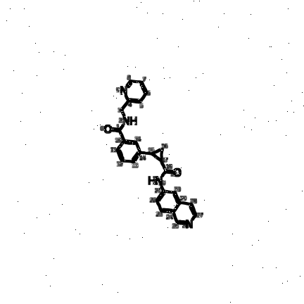 O=C(NCc1ccccn1)c1cccc(C2CC2C(=O)Nc2ccc3cnccc3c2)c1